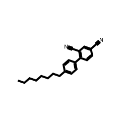 CCCCCCCCc1ccc(-c2ccc(C#N)cc2C#N)cc1